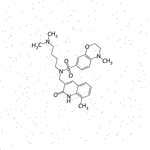 Cc1cccc2cc(CN(CCCCN(C)C)S(=O)(=O)c3ccc4c(c3)OCCN4C)c(=O)[nH]c12